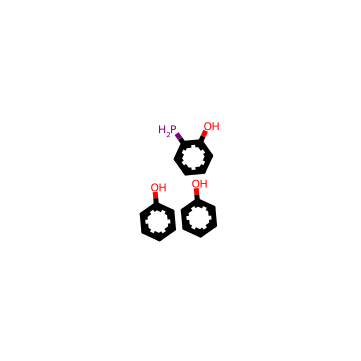 Oc1ccccc1.Oc1ccccc1.Oc1ccccc1P